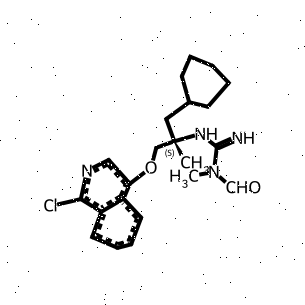 CN(C=O)C(=N)N[C@](C)(COc1cnc(Cl)c2ccccc12)CC1CCCCC1